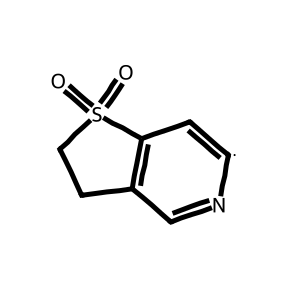 O=S1(=O)CCc2cn[c]cc21